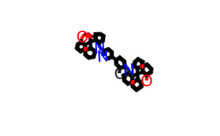 N#Cc1cc(-c2ccc(N3c4ccccc4C4(c5ccccc5Oc5ccccc54)c4ccccc43)nc2)ccc1N1c2ccccc2C2(c3ccccc3Oc3ccccc32)c2ccccc21